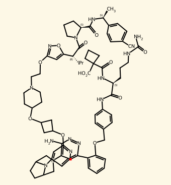 CC(C)[C@@H](C(=O)N1CCC[C@H]1C(=O)N[C@@H](C)c1ccc(C#N)cc1)c1cc(OCCN2CCC(OC3CC(Oc4cc(N5C6CCC5CN(c5cc(-c7ccccc7OCc7ccc(NC(=O)[C@H](CCCNC(N)=O)NC(=O)C8(C(=O)O)CCC8)cc7)nnc5N)C6)ccn4)C3)CC2)no1